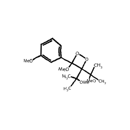 COc1cccc(C2(OC)OOC2(C(C)(C)OC)C(C)(C)OC)c1